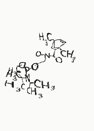 COP(OCCN(C=O)C(=O)[C@H]1C[C@]2(C)C=C[C@@]1(C)C2)N(C(C)C)C(C)C